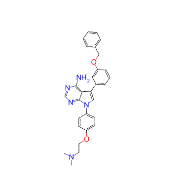 CN(C)CCOc1ccc(-n2cc(-c3cccc(OCc4ccccc4)c3)c3c(N)ncnc32)cc1